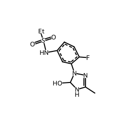 CCS(=O)(=O)Nc1ccc(F)c(N2N=C(C)NC2O)c1